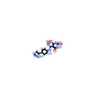 N/N=C(/Nc1ccc(-c2cnn[nH]2)cc1)c1c(O)[nH]c(=O)[nH]c1=O